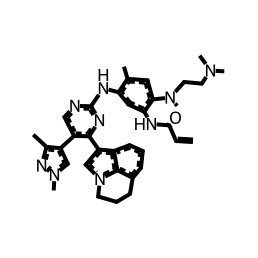 C=CC(=O)Nc1cc(Nc2ncc(-c3cn(C)nc3C)c(-c3cn4c5c(cccc35)CCC4)n2)c(C)cc1N(C)CCN(C)C